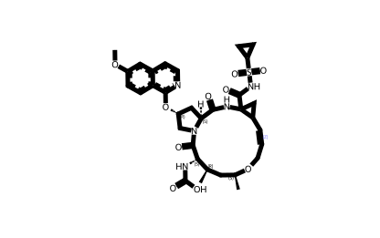 COc1ccc2c(O[C@@H]3C[C@H]4C(=O)NC5(C(=O)NS(=O)(=O)C6CC6)CC5/C=C\CO[C@@H](C)C[C@@H](C)[C@H](NC(=O)O)C(=O)N4C3)nccc2c1